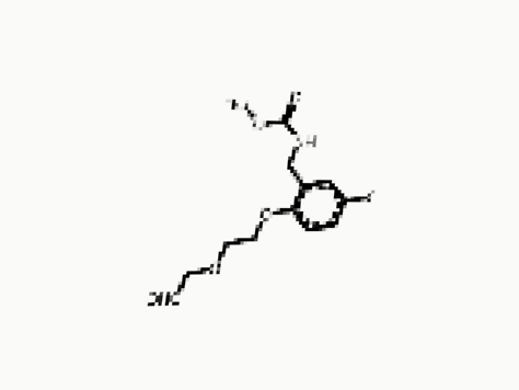 CC(C)(C)OC(=O)NCc1cc(Cl)ccc1OCCOCC=O